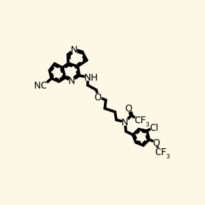 N#Cc1ccc2c(c1)nc(NCCOCCCCN(Cc1ccc(OC(F)(F)F)c(Cl)c1)C(=O)C(F)(F)F)c1ccncc12